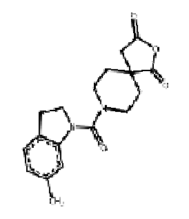 Cc1ccc2c(c1)N(C(=O)N1CCC3(CC1)CC(=O)OC3=O)CC2